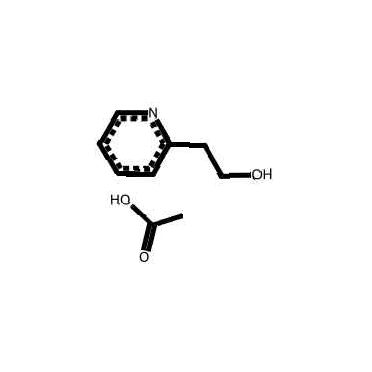 CC(=O)O.OCCc1ccccn1